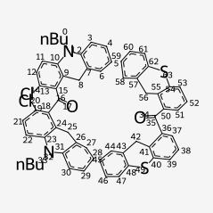 CCCCN1c2ccccc2Cc2c1ccc(Cl)c2C(=O)c1c(Cl)ccc2c1Cc1ccccc1N2CCCC.O=C(c1cccc2c1Cc1ccccc1S2)c1cccc2c1Cc1ccccc1S2